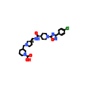 O=C(NC[C@H]1CCN(CC2CCCN(C(=O)O)C2)C1)C1CCN(c2nc(-c3ccc(Cl)cc3)no2)CC1